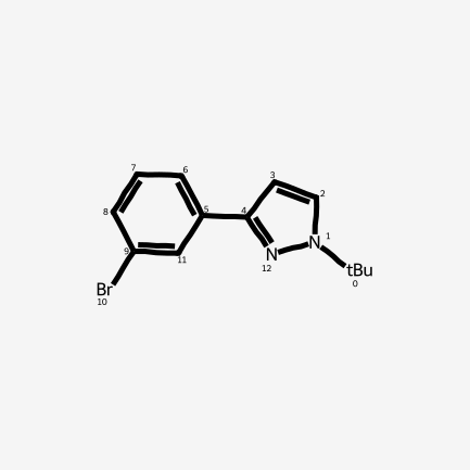 CC(C)(C)n1ccc(-c2cccc(Br)c2)n1